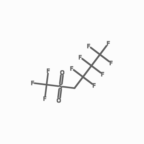 O=S(=O)(CC(F)(F)C(F)(F)C(F)(F)F)C(F)(F)F